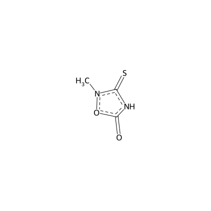 Cn1oc(=O)[nH]c1=S